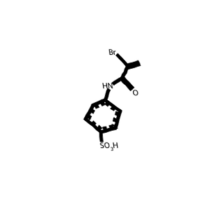 C=C(Br)C(=O)Nc1c[c]c(S(=O)(=O)O)cc1